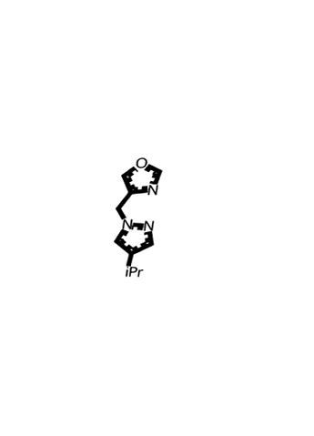 CC(C)c1cnn(Cc2cocn2)c1